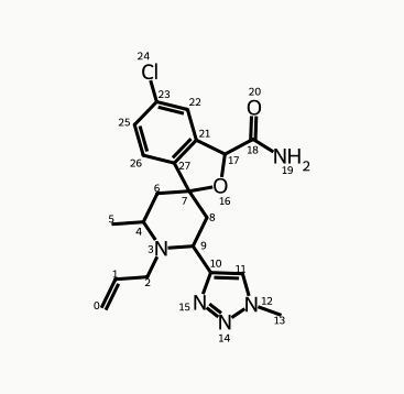 C=CCN1C(C)CC2(CC1c1cn(C)nn1)OC(C(N)=O)c1cc(Cl)ccc12